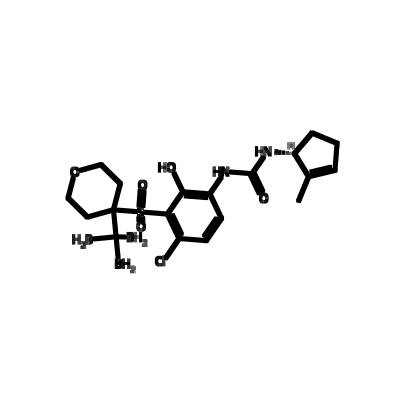 BC(B)(B)C1(S(=O)(=O)c2c(Cl)ccc(NC(=O)N[C@@H]3CCC=C3C)c2O)CCOCC1